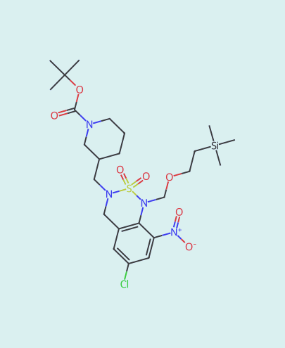 CC(C)(C)OC(=O)N1CCCC(CN2Cc3cc(Cl)cc([N+](=O)[O-])c3N(COCC[Si](C)(C)C)S2(=O)=O)C1